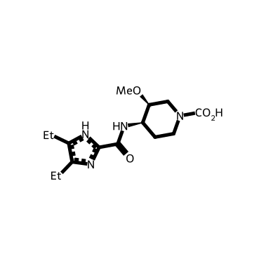 CCc1nc(C(=O)N[C@@H]2CCN(C(=O)O)C[C@@H]2OC)[nH]c1CC